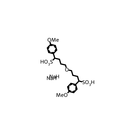 COc1ccc(C(CCCOCCCC(c2ccc(OC)cc2)S(=O)(=O)O)S(=O)(=O)O)cc1.[NaH].[NaH]